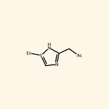 CCS1=CN=C(CC(C)=O)N1